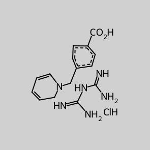 Cl.N=C(N)NC(=N)N.O=C(O)c1ccc(CN2C=CC=CC2)cc1